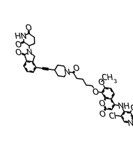 COc1ccc2c(Nc3c(Cl)cncc3Cl)cc(=O)oc2c1OCCCCC(=O)N1CCC(C#Cc2cccc3c2CN(C2CCC(=O)NC2=O)C3=O)CC1